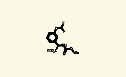 CCOC(=O)[C@H](NC(=O)OC(C)(C)C)c1cccc(OC(F)F)c1